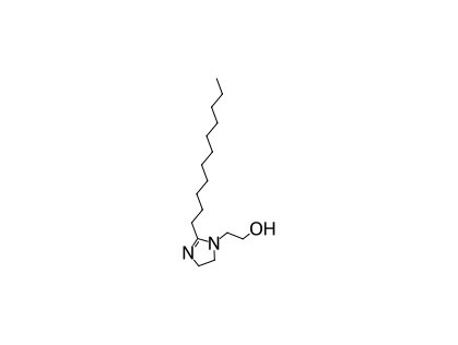 CCCCCCCCCCCC1=NCCN1CCO